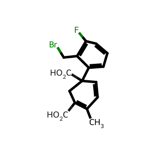 CC1=C(C(=O)O)CC(C(=O)O)(c2cccc(F)c2CBr)C=C1